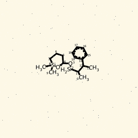 CC([SiH2]OC1CCC[Si](C)(C)O1)C(C)c1ccccc1